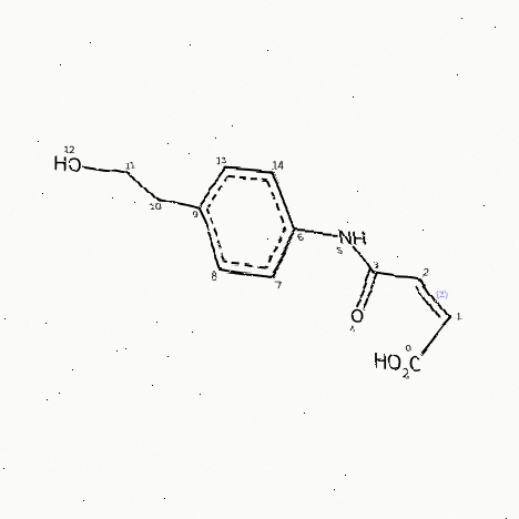 O=C(O)/C=C\C(=O)Nc1ccc(CCO)cc1